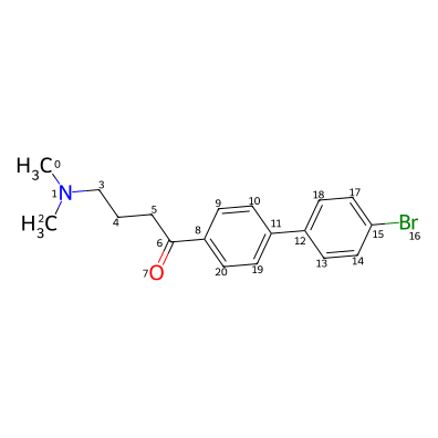 CN(C)CCCC(=O)c1ccc(-c2ccc(Br)cc2)cc1